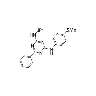 CSc1ccc(Nc2nc(NC(C)C)nc(-c3ccccc3)n2)cc1